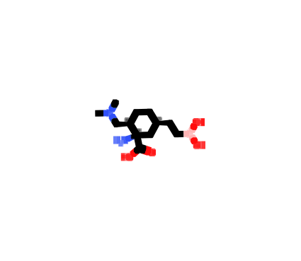 CN(C)C[C@H]1CC[C@@H](CCB(O)O)C[C@]1(N)C(=O)O